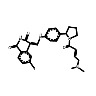 CN(C)CC=CC(=O)N1CCCC1c1ccc(NC=C2C(=O)NC(=O)c3ccc(I)cc32)cc1